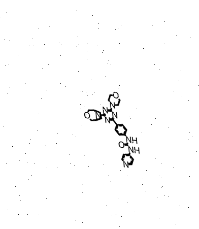 O=C(Nc1ccncc1)Nc1ccc(-c2nc(N3CCOCC3)nc(N3C4CCC3COC4)n2)cc1